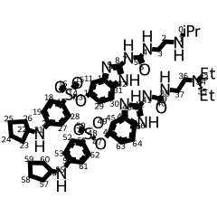 CC(C)NCCNC(=O)Nc1nc2cc(OS(=O)(=O)c3ccc(NC4CCCC4)cc3)ccc2[nH]1.CCN(CC)CCNC(=O)Nc1nc2cc(OS(=O)(=O)c3ccc(NC4CCCC4)cc3)ccc2[nH]1